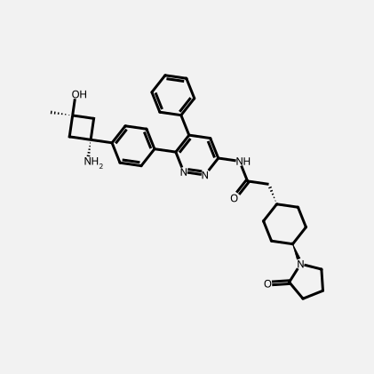 C[C@]1(O)C[C@@](N)(c2ccc(-c3nnc(NC(=O)C[C@H]4CC[C@H](N5CCCC5=O)CC4)cc3-c3ccccc3)cc2)C1